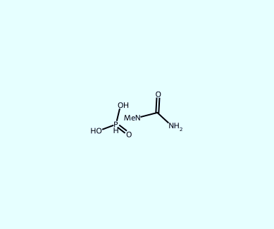 CNC(N)=O.O=[PH](O)O